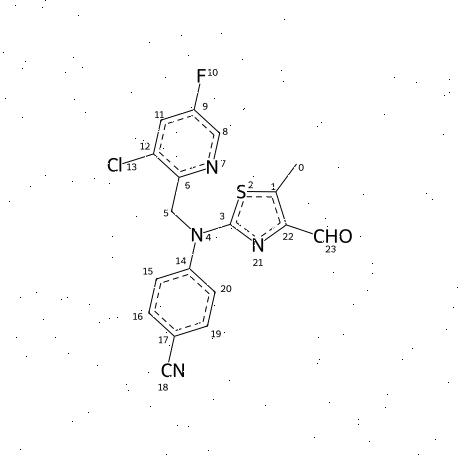 Cc1sc(N(Cc2ncc(F)cc2Cl)c2ccc(C#N)cc2)nc1C=O